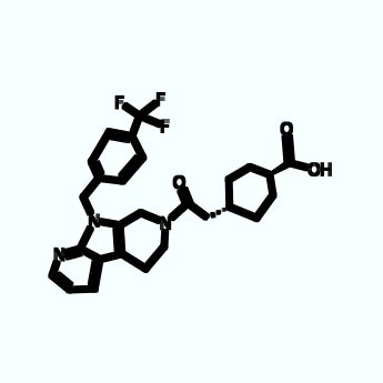 O=C(C[C@H]1CC[C@H](C(=O)O)CC1)N1CCc2c(n(Cc3ccc(C(F)(F)F)cc3)c3ncccc23)C1